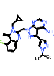 C=C1c2c(F)cccc2N=C(Cn2nc(-c3cnn(C(CC)CC)c3)c3c(N)ncnc32)N1CC1CC1